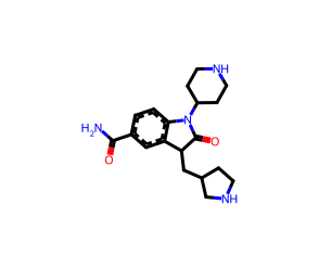 NC(=O)c1ccc2c(c1)C(CC1CCNC1)C(=O)N2C1CCNCC1